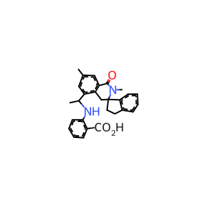 Cc1cc2c(c(C(C)Nc3ccccc3C(=O)O)c1)CC1(CCc3ccccc31)N(C)C2=O